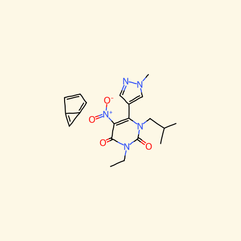 CCn1c(=O)c([N+](=O)[O-])c(-c2cnn(C)c2)n(CC(C)C)c1=O.c1cc2cc-2c1